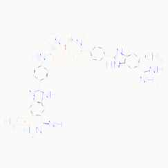 COc1cc2nc(-c3ccc(NC(=O)[C@@H]4CCCN4C(=O)[C@@H]4CCCN4C(=O)c4ccc(-c5nc6cc(C)c(C(=N)N)cc6[nH]5)cc4)cc3)[nH]c2cc1C(=N)N